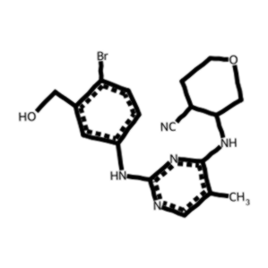 Cc1cnc(Nc2ccc(Br)c(CO)c2)nc1NC1COCCC1C#N